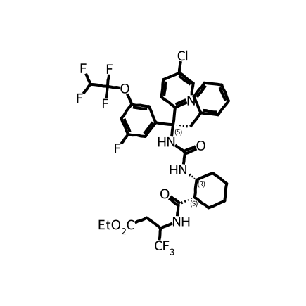 CCOC(=O)CC(NC(=O)[C@H]1CCCC[C@H]1NC(=O)N[C@@](Cc1ccccc1)(c1cc(F)cc(OC(F)(F)C(F)F)c1)c1ccc(Cl)cn1)C(F)(F)F